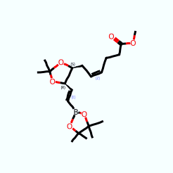 COC(=O)CC/C=C\C[C@@H]1OC(C)(C)O[C@@H]1/C=C/B1OC(C)(C)C(C)(C)O1